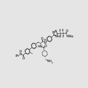 CNC(=O)C(F)(F)C(F)(F)c1nnc(-c2ccc(NC(=O)[C@H](Cc3ccc(-c4ccc(C(=O)NC(C)C)cc4C)cc3)NC(=O)[C@H]3CC[C@H](CN)CC3)cc2)[nH]1